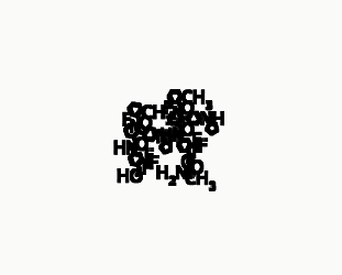 Cc1cccc(F)c1C(=O)N1CCCC(C(=O)Nc2ccc(CO)c(C(F)(F)F)c2)C1c1ccc(NC2CCCC2)cc1.Cc1cccc(F)c1C(=O)N1CCC[C@H](C(=O)Nc2ccc(COC(=O)[C@@H](C)N)c(C(F)(F)F)c2)[C@@H]1c1ccc(NC2CCCC2)cc1